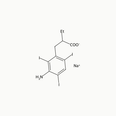 CCC(Cc1c(I)cc(I)c(N)c1I)C(=O)[O-].[Na+]